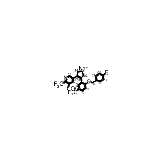 O=C([O-])c1cc(C2=C(c3cc(C(F)(F)F)ccc3OCc3ccc(F)cc3)CCC2)cnc1C(F)(F)F.[Na+]